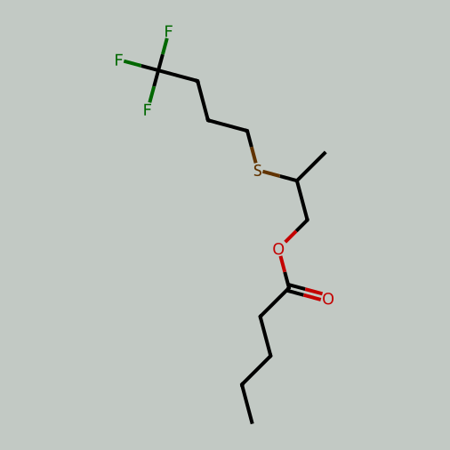 CCCCC(=O)OCC(C)SCCCC(F)(F)F